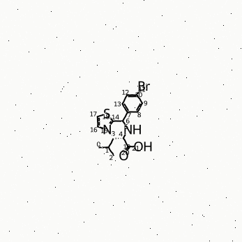 CC(C)C[C@H](NC(c1ccc(Br)cc1)c1nccs1)C(=O)O